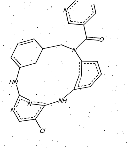 O=C(c1cccnc1)N1CC2C=CC=C(C2)Nc2ncc(Cl)c(n2)Nc2cccc1c2